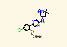 COCOc1cc(Cl)ccc1-c1cnc(N(C)C2CC(C)(C)NC(C)(C)C2)cn1